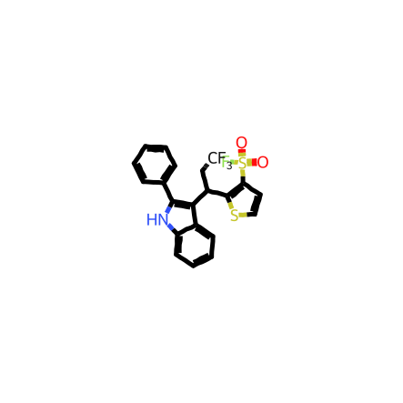 O=S(=O)(F)c1ccsc1C(CC(F)(F)F)c1c(-c2ccccc2)[nH]c2ccccc12